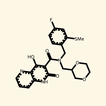 CSc1cc(F)ccc1CN(CC1COCCO1)C(=O)c1c(O)c2ncccc2[nH]c1=O